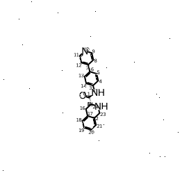 O=C(Nc1ccc(-c2ccncc2)cc1)[C@H]1Cc2ccccc2CN1